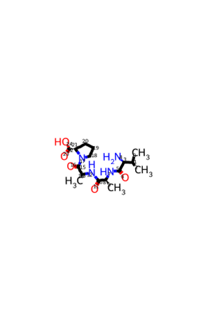 CC(C)[C@H](N)C(=O)N[C@@H](C)C(=O)N[C@@H](C)C(=O)N1CCC[C@H]1C(=O)O